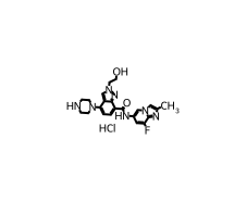 Cc1cn2cc(NC(=O)c3ccc(N4CCNCC4)c4cn(CCO)nc34)cc(F)c2n1.Cl